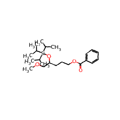 COCC(CCCOC(=O)c1ccccc1)O[Si](C(C)C)(C(C)C)C(C)C